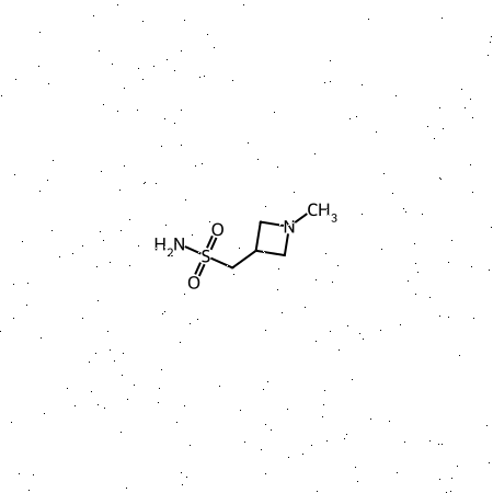 CN1CC(CS(N)(=O)=O)C1